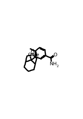 COC1(c2cc(C(N)=O)ccc2C)C2CCCC1CNC2